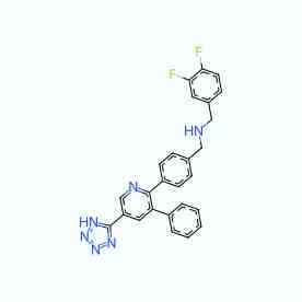 Fc1ccc(CNCc2ccc(-c3ncc(-c4nnn[nH]4)cc3-c3ccccc3)cc2)cc1F